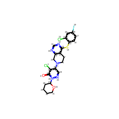 O=c1c(Cl)c(N2CCc3c(ncnc3Sc3ccc(F)cc3Cl)C2)cnn1C1CCCCO1